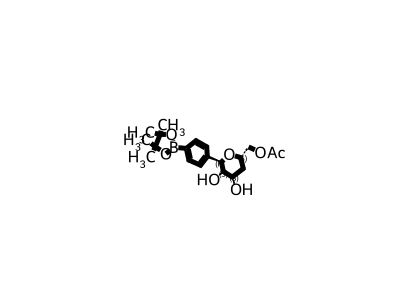 CC(=O)OC[C@@H]1C[C@H](O)[C@H](O)[C@@H](c2ccc(B3OC(C)(C)C(C)(C)O3)cc2)O1